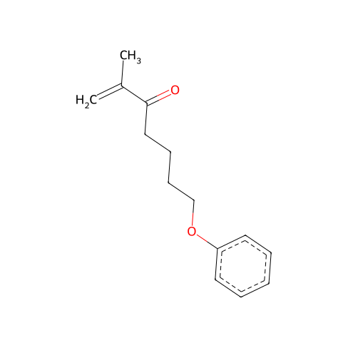 C=C(C)C(=O)CCCCOc1ccccc1